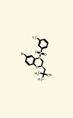 CC(C)(C#N)C[C@@H]1CN(S(=O)(=O)c2cccc(C(F)(F)F)c2)c2cc(Br)ccc2O1